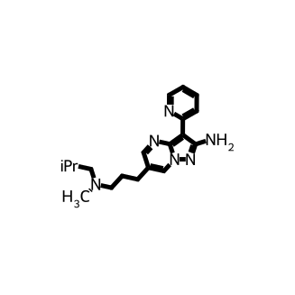 CC(C)CN(C)CCCc1cnc2c(-c3ccccn3)c(N)nn2c1